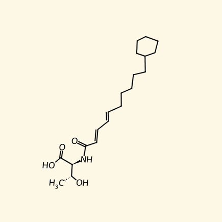 C[C@@H](O)[C@H](NC(=O)/C=C/C=C/CCCCCC1CCCCC1)C(=O)O